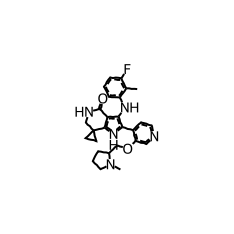 Cc1c(F)cccc1Nc1c(-c2ccncc2OCC2CCCN2C)[nH]c2c1C(=O)NCC21CC1